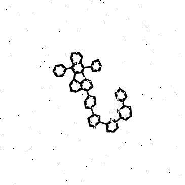 c1ccc(-c2c3c(c(-c4ccccc4)c4ccccc24)-c2ccc(-c4ccc(-c5ccnc(-c6cccc(-c7cccc(-c8ccccn8)n7)n6)c5)cc4)c4cccc-3c24)cc1